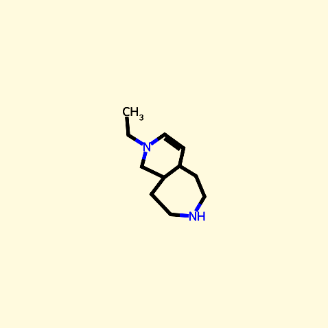 CCN1C=CC2CCNCCC2C1